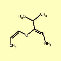 C/C=C\O/C(=N\N)C(C)C